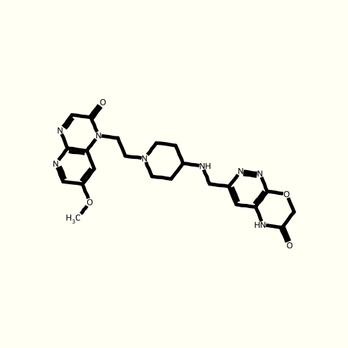 COc1cnc2ncc(=O)n(CCN3CCC(NCc4cc5c(nn4)OCC(=O)N5)CC3)c2c1